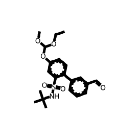 CCOC(OC)Oc1ccc(-c2cccc(C=O)c2)c(S(=O)(=O)NC(C)(C)C)c1